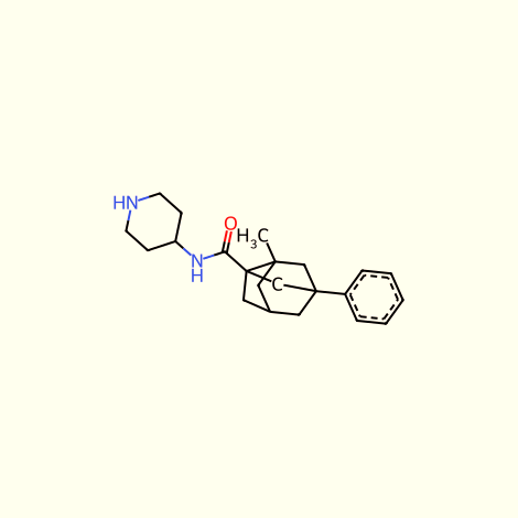 CC12CC3CC(c4ccccc4)(C1)CC2(C(=O)NC1CCNCC1)C3